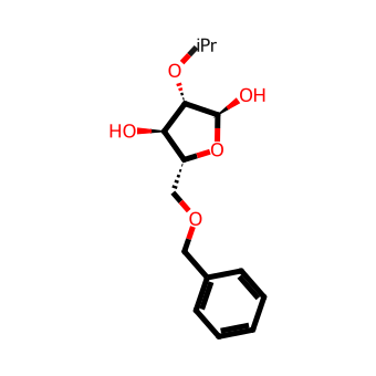 CC(C)O[C@H]1[C@H](O)[C@@H](COCc2ccccc2)O[C@@H]1O